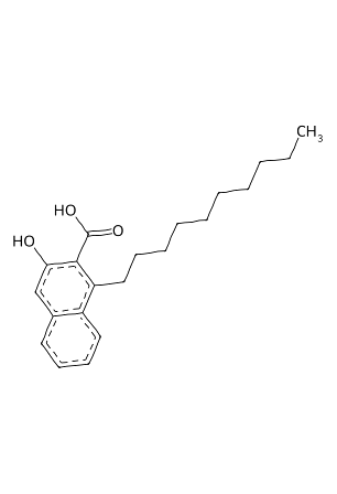 CCCCCCCCCCc1c(C(=O)O)c(O)cc2ccccc12